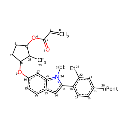 C=CC(=O)OC1CCC(Oc2ccc3cc(-c4ccc(CCCCC)cc4CC)n(CC)c3c2)C1C(F)(F)F